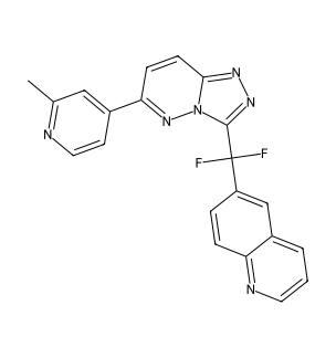 Cc1cc(-c2ccc3nnc(C(F)(F)c4ccc5ncccc5c4)n3n2)ccn1